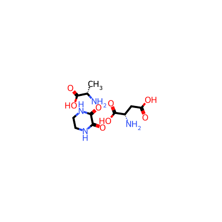 C[C@H](N)C(=O)O.N[C@@H](CC(=O)O)C(=O)O.O=C1NCCNC1=O